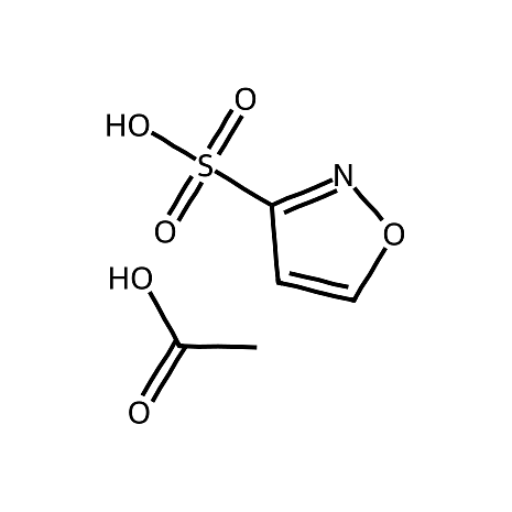 CC(=O)O.O=S(=O)(O)c1ccon1